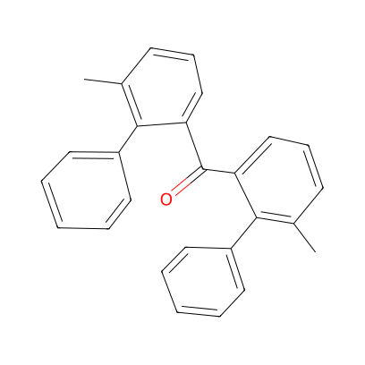 Cc1cccc(C(=O)c2cccc(C)c2-c2ccccc2)c1-c1ccccc1